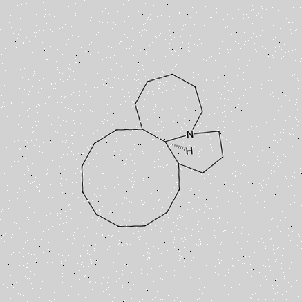 C1CCCCC2CCCCCN3CCCC(CCCC1)[C@@H]23